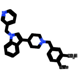 COc1ccc(CN2CCC(c3cn(Cc4cccnc4)c4ccccc34)CC2)cc1C(=O)O